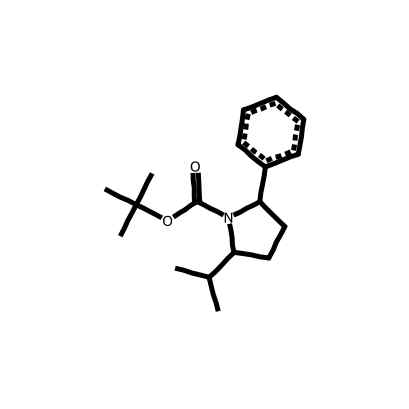 CC(C)C1CCC(c2ccccc2)N1C(=O)OC(C)(C)C